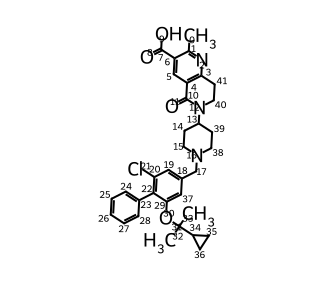 Cc1nc2c(cc1C(=O)O)C(=O)N(C1CCN(Cc3cc(Cl)c(-c4ccccc4)c(OC(C)(C)C4CC4)c3)CC1)CC2